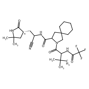 CC1(C)C[C@@H](CC(C#N)NC(=O)C2CC3(CCCCC3)CN2C(=O)C(NC(=O)C(F)(F)F)C(C)(C)C)C(=O)N1